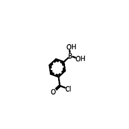 O=C(Cl)c1cccc(B(O)O)c1